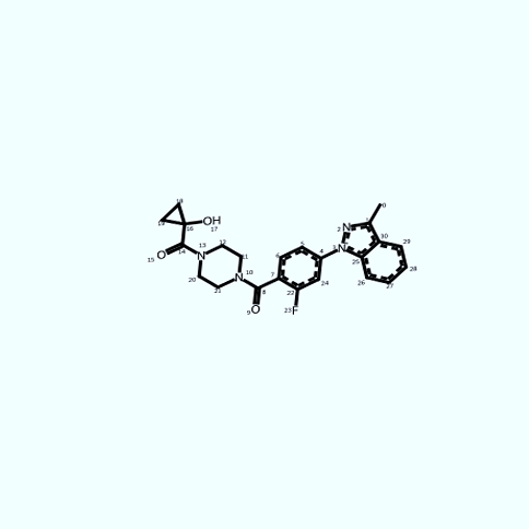 Cc1nn(-c2ccc(C(=O)N3CCN(C(=O)C4(O)CC4)CC3)c(F)c2)c2ccccc12